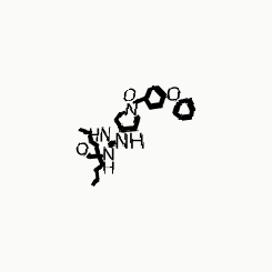 CCCCC(C=O)(CCCC)NC(=N)NC1CCN(C(=O)c2ccc(Oc3ccccc3)cc2)CC1